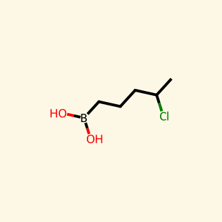 CC(Cl)CCCB(O)O